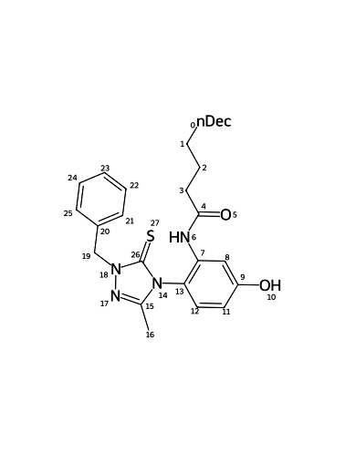 CCCCCCCCCCCCCC(=O)Nc1cc(O)ccc1-n1c(C)nn(Cc2ccccc2)c1=S